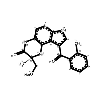 COC[C@]1(C)Nc2c(cnc3[nH]cc(C(=O)c4ccccc4C)c23)NC1=O